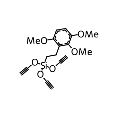 C#CO[Si](CCc1c(OC)ccc(OC)c1OC)(OC#C)OC#C